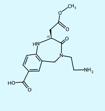 COC(=O)C[C@@H]1Nc2ccc(C(=O)O)cc2CN(CCN)C1=O